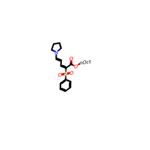 CCCCCCCCOC(=O)C(=CC=CN1CCCC1)S(=O)(=O)c1ccccc1